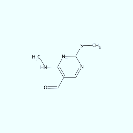 CNc1nc(SC)ncc1C=O